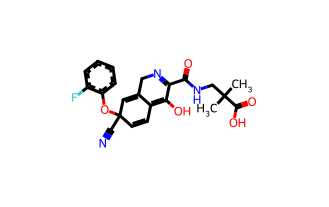 CC(C)(CNC(=O)C1=NCC2=CC(C#N)(Oc3ccccc3F)C=CC2=C1O)C(=O)O